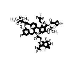 CC(C)(C#Cc1ccc(-c2ccc(Cl)c3c(N(C(=O)C4CNC4)S(C)(=O)=O)nn(CC(F)(F)F)c23)c(C(Cc2cc(F)cc(F)c2)NC(=O)Cn2nc(C(F)(F)F)c3c2C(F)(F)[C@@H]2C[C@H]32)n1)S(C)(=O)=O